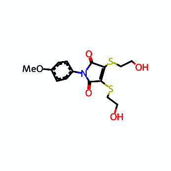 COc1ccc(N2C(=O)C(SCCO)=C(SCCO)C2=O)cc1